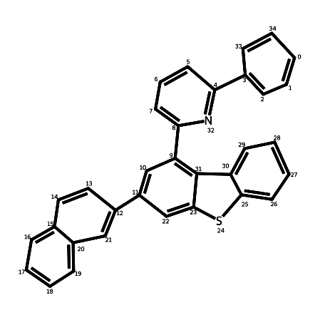 c1ccc(-c2cccc(-c3cc(-c4ccc5ccccc5c4)cc4sc5ccccc5c34)n2)cc1